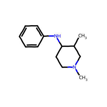 CC1CN(C)CCC1Nc1ccccc1